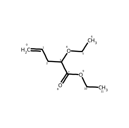 C=CCC(OCC)C(=O)OCC